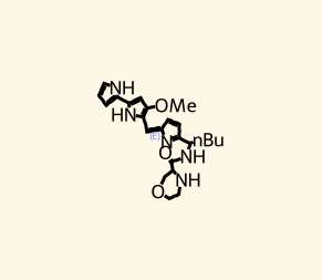 CCCCC(NC(=O)C1COCCN1)C1=N/C(=C/c2[nH]c(-c3ccc[nH]3)cc2OC)C=C1